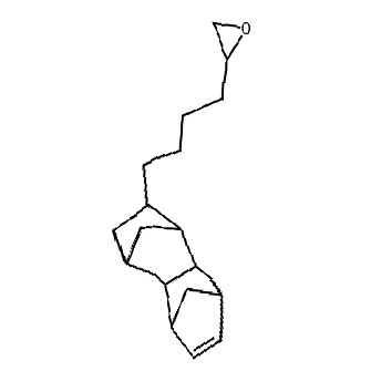 C1=CC2CC1C1C3CC(CCCCC4CO4)C(C3)C21